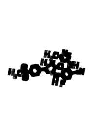 Cc1cc(Nc2cc(N[C@H](CCc3ccc(S(C)(=O)=O)cc3)C(N)=O)c(F)cc2C#N)sn1